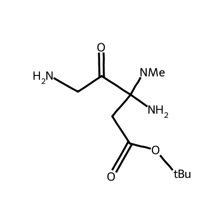 CNC(N)(CC(=O)OC(C)(C)C)C(=O)CN